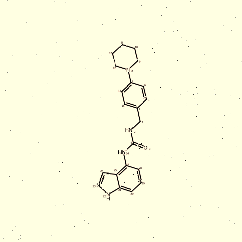 O=C(NCc1ccc(N2CCCCC2)cc1)Nc1cccc2[nH]ncc12